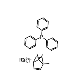 CC12C=CC(CC1)C2(C)C.[Cl-].[Cl-].[Ra+2].c1ccc(P(c2ccccc2)c2ccccc2)cc1